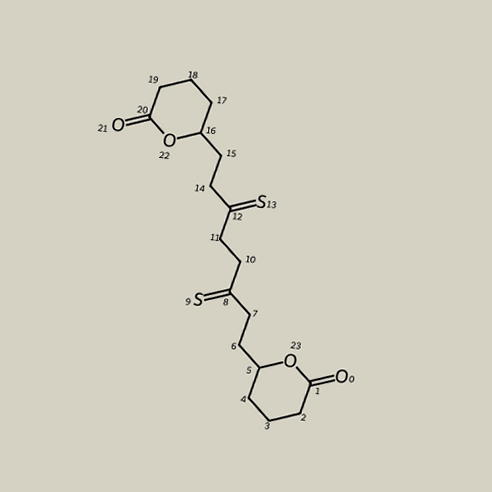 O=C1CCCC(CCC(=S)CCC(=S)CCC2CCCC(=O)O2)O1